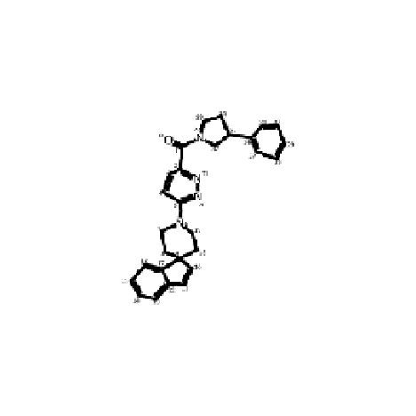 O=C(c1ccc(N2CCC3(C=Cc4ccccc43)CC2)nn1)N1CCC(c2ccccc2)C1